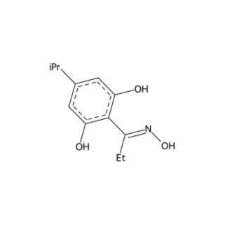 CCC(=NO)c1c(O)cc(C(C)C)cc1O